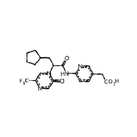 O=C(O)Cc1ccc(NC(=O)C(CC2CCCC2)n2cc(C(F)(F)F)ncc2=O)nc1